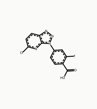 O=C(O)c1ccc(-n2nnc3ccc(Cl)nc32)cc1F